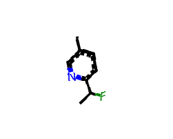 Cc1ccc(C(C)F)nc1